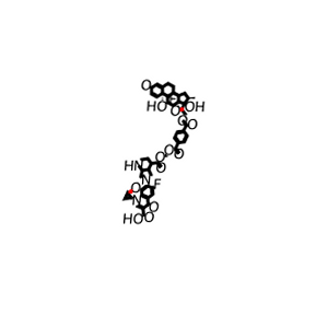 COc1c(N2CC3NCCC(C(=O)OCOC(=O)c4ccc(C(=O)OCC(=O)[C@@]5(O)[C@H](C)CC6C7CCC8=CC(=O)C=C[C@]8(C)[C@@]7(F)[C@@H](O)C[C@@]65C)cc4)C3C2)c(F)cc2c(=O)c(C(=O)O)cn(C3CC3)c12